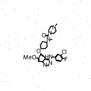 COc1cc2ncnc(Nc3ccc(F)c(Cl)c3)c2cc1OC1CCC(N(C)C(=O)N2CCN(C)CC2)CC1